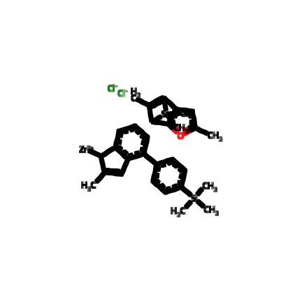 CC1=C2c3cc(C)oc3C1[Si]2(C)C.CC1=Cc2c(-c3ccc([Si](C)(C)C)cc3)cccc2[CH]1[Zr+2].[Cl-].[Cl-]